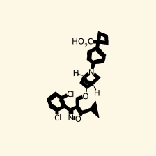 O=C(O)C1(c2ccc(N3C[C@@H]4C[C@H]3C[C@H]4OCc3c(-c4c(Cl)cccc4Cl)noc3C3CC3)cc2)CCC1